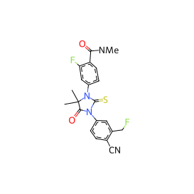 CNC(=O)c1ccc(N2C(=S)N(c3ccc(C#N)c(CF)c3)C(=O)C2(C)C)cc1F